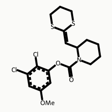 COc1cc(Cl)c(Cl)c(OC(=O)N2CCCCC2C=C2SCCCS2)c1